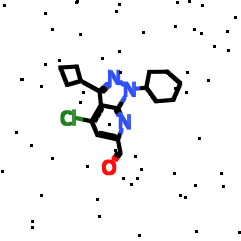 O=Cc1cc(Cl)c2c(C3CCC3)nn(C3CCCCC3)c2n1